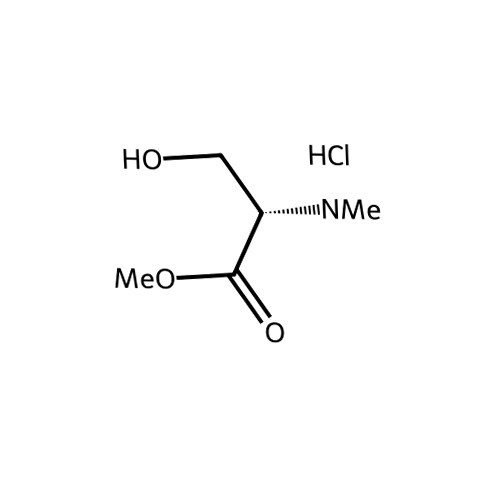 CN[C@@H](CO)C(=O)OC.Cl